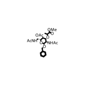 COC(=O)C(C)O[C@@H]1[C@@H](NC(C)=O)[C@@H](OCc2ccccc2)O[C@H](CNC(C)=O)[C@H]1OC(C)=O